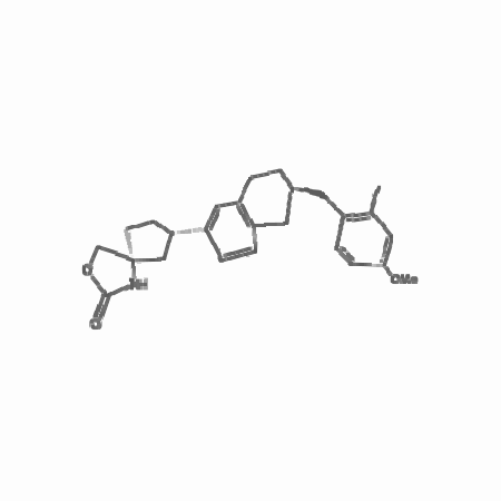 COc1ccc(C[C@@H]2CCc3cc([C@H]4CC[C@]5(COC(=O)N5)C4)ccc3C2)c(C)c1